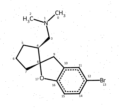 CN(C)C[C@@H]1CCC[C@]12Cc1cc(Br)ccc1O2